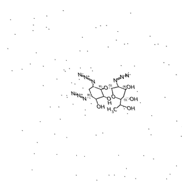 CC(O)C1O[C@H](O[C@@H]2C(N=[N+]=[N-])C[C@@H](N=[N+]=[N-])C(O)C2O)C(N=[N+]=[N-])[C@@H](O)[C@@H]1O